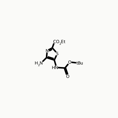 CCOC(=O)c1nc(N)c(NC(=O)OC(C)(C)C)s1